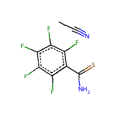 CC#N.NC(=S)c1c(F)c(F)c(F)c(F)c1F